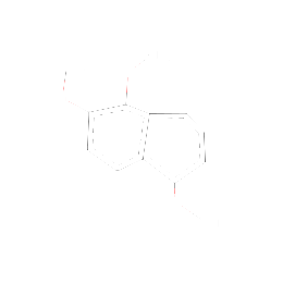 COc1ccc2c(OC)cccc2c1OC